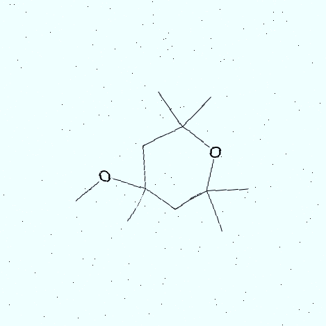 COC1(C)CC(C)(C)OC(C)(C)C1